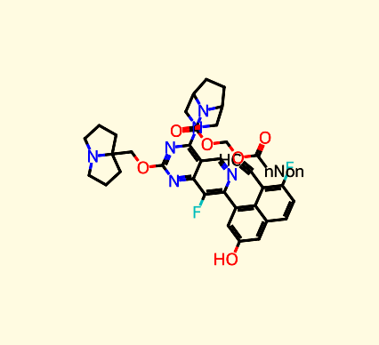 C#Cc1c(F)ccc2cc(O)cc(-c3ncc4c(N5CC6CCC(C5)N6C(=O)OCOC(=O)CCCCCCCCC)nc(OCC56CCCN5CCC6)nc4c3F)c12